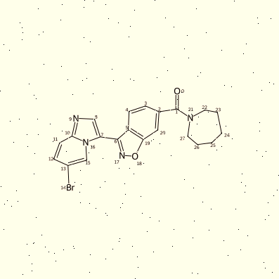 O=C(c1ccc2c(-c3cnc4ccc(Br)cn34)noc2c1)N1CCCCCC1